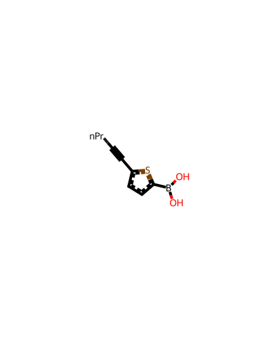 CCCC#Cc1ccc(B(O)O)s1